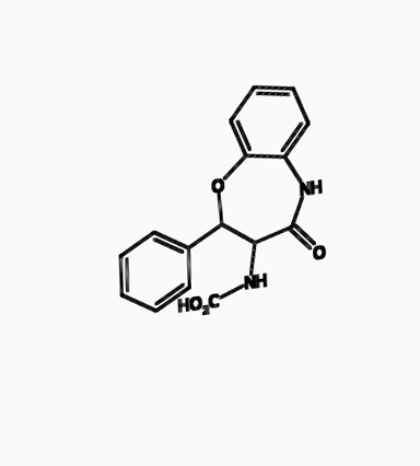 O=C(O)NC1C(=O)Nc2ccccc2OC1c1ccccc1